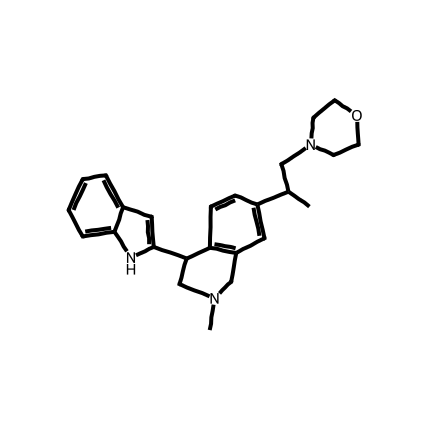 CC(CN1CCOCC1)c1ccc2c(c1)CN(C)CC2c1cc2ccccc2[nH]1